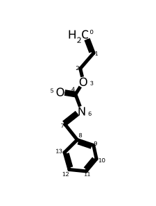 C=CCOC(=O)N=Cc1ccccc1